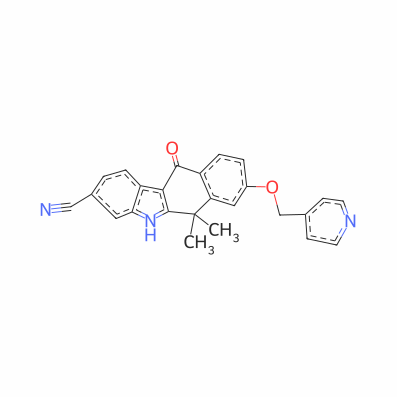 CC1(C)c2cc(OCc3ccncc3)ccc2C(=O)c2c1[nH]c1cc(C#N)ccc21